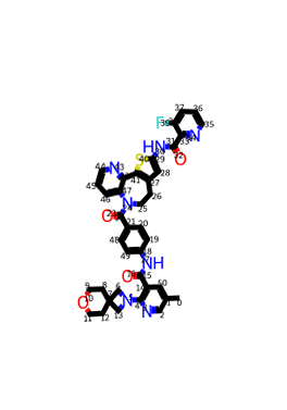 Cc1cnc(N2CC3(CCOCC3)C2)c(C(=O)Nc2ccc(C(=O)N3CCc4cc(NC(=O)c5ncccc5F)sc4-c4ncccc43)cc2)c1